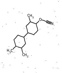 CC1CCC(C2CCC(OC#N)C(C)C2)CC1C